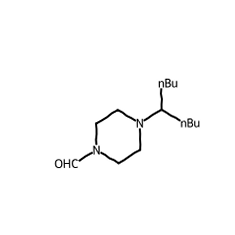 CCCCC(CCCC)N1CCN(C=O)CC1